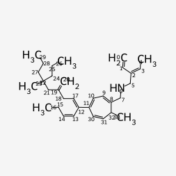 C=C/C(=C\C)CNCC1=CC=C(C(/C=C\CC)=C/CC(=C)CC(C)(CCC)CCC)C=CC1C